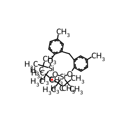 Cc1ccc2c(c1)Cc1cc(C)ccc1O[Si](C(C)(C)C)(C(C)(C)C)O[Si](C(C)(C)C)(C(C)(C)C)O2